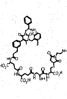 Cc1c(-c2cccc(CCC(=O)NC(CCC(=O)NC(CCC(=O)NCC(N)C(=O)NC(CSC3CC(=O)N(CCN)C3=O)C(=O)O)C(=O)O)C(=O)O)c2)c(=O)n(C[C@H](N)c2ccccc2)c(=O)n1Cc1c(F)cccc1F